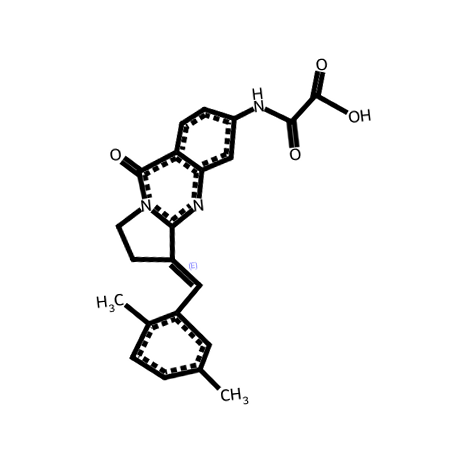 Cc1ccc(C)c(/C=C2\CCn3c2nc2cc(NC(=O)C(=O)O)ccc2c3=O)c1